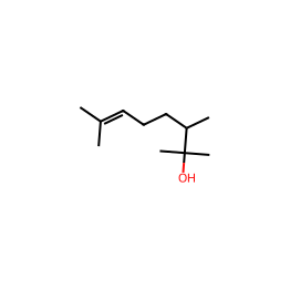 CC(C)=CCCC(C)C(C)(C)O